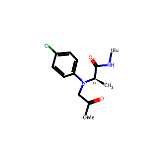 COC(=O)CN(c1ccc(Cl)cc1)[C@H](C)C(=O)NC(C)(C)C